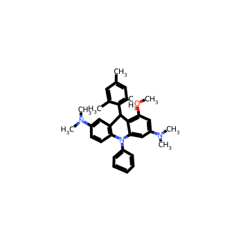 COc1cc(N(C)C)cc2c1C(c1c(C)cc(C)cc1C)c1cc(N(C)C)ccc1N2c1ccccc1